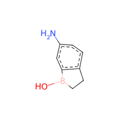 Nc1ccc2c(c1)B(O)CC2